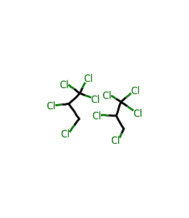 ClCC(Cl)C(Cl)(Cl)Cl.ClCC(Cl)C(Cl)(Cl)Cl